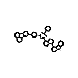 c1ccc(-c2nc(-c3ccc(-c4ccc5c(c4)-c4cccc6cccc-5c46)cc3)nc(-c3cccc4c(-c5cccc6oc7ccccc7c56)cccc34)n2)cc1